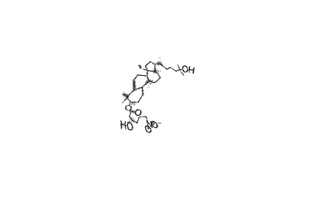 C=CC12CCC([C@H](C)CCCC(C)(C)O)[C@@]1(C)CC[C@@]1(C)C3CC[C@H](O[C@H]4C[C@@H](O)CC(C[N+](=O)[O-])O4)C(C)(C)C3=CCC21